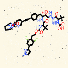 Cn1ccc(-c2cc(F)c(CCOC(=O)NC(C(=O)NC(Cc3ccc(C#Cc4ccc(N5CC6CCC(C5)N6C5COC5)nc4)cc3)C(O)CNNC(=O)C(NC(=O)O)C(C)(C)C)C(C)(C)C)c(F)c2)n1